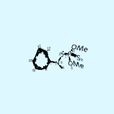 COP(=S)(OC)SN(C)c1ccccc1